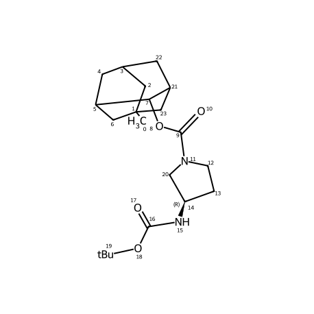 CC12CC3CC(C1)C(OC(=O)N1CC[C@@H](NC(=O)OC(C)(C)C)C1)C(C3)C2